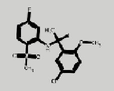 COc1ccc(Cl)cc1C(C)(I)Nc1cc(F)ccc1S(C)(=O)=O